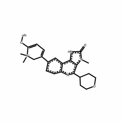 CCCOC1=CC=C(c2ccc3nc(C4CCOCC4)c4c([nH]c(=O)n4C)c3c2)C[N+]1(C)C